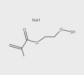 C=C(C)C(=O)OCCOS.[NaH]